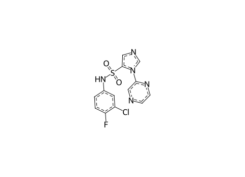 O=S(=O)(Nc1ccc(F)c(Cl)c1)c1cncn1-c1cnccn1